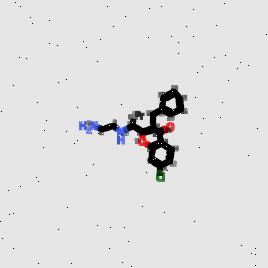 CC(C)C(NCCN)c1oc2cc(Cl)ccc2c(=O)c1Cc1ccccc1